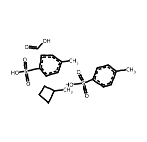 CC1CCC1.Cc1ccc(S(=O)(=O)O)cc1.Cc1ccc(S(=O)(=O)O)cc1.O=CO